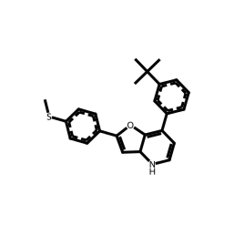 CSc1ccc(C2=CC3NC=CC(c4cccc(C(C)(C)C)c4)=C3O2)cc1